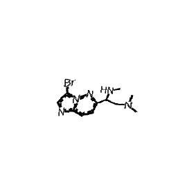 CNC(CN(C)C)c1ccc2ncc(Br)n2n1